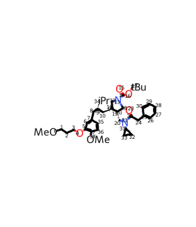 COCCCOc1cc(C[C@@H](C[C@H]2CN(C(=O)OC(C)(C)C)C[C@@H]2CN(C(=O)Cc2ccccc2)C2CC2)C(C)C)ccc1OC